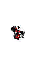 COC[C@@H]1CN(CCN2CCN(C(=O)c3cc(C(F)(F)F)cc(S(=O)(=O)N4CCCC4)c3)[C@H](Cc3ccc(C)c(O[Si](c4ccccc4)(c4ccccc4)C(C)(C)C)c3)C2)CCO1